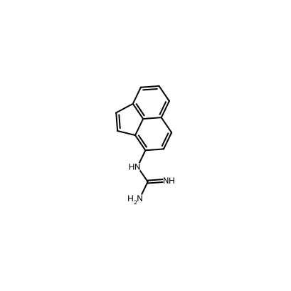 N=C(N)Nc1ccc2cccc3c2c1C=C3